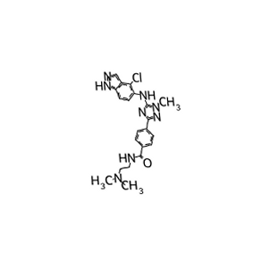 CN(C)CCNC(=O)c1ccc(-c2nc(Nc3ccc4[nH]ncc4c3Cl)n(C)n2)cc1